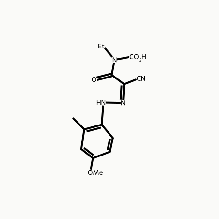 CCN(C(=O)O)C(=O)/C(C#N)=N\Nc1ccc(OC)cc1C